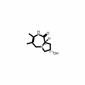 CC1=C(C)NC(=O)[C@@H]2C[C@H](O)CN2C1